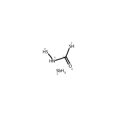 O=C(S)NS.[SbH3]